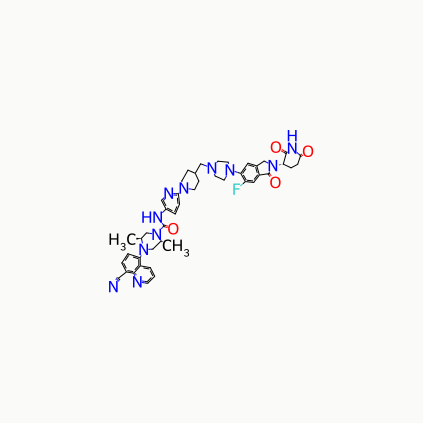 C[C@@H]1CN(c2ccc(C#N)c3ncccc23)[C@@H](C)CN1C(=O)Nc1ccc(N2CCC(CN3CCN(c4cc5c(cc4F)C(=O)N([C@H]4CCC(=O)NC4=O)C5)CC3)CC2)nc1